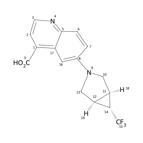 O=C(O)c1ccnc2ccc(N3C[C@@H]4[C@H](C3)[C@H]4C(F)(F)F)cc12